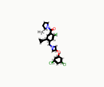 C[C@@H]1CCCN1C(=O)c1cc(C2CC2)c(CN2CC(Oc3cc(Cl)cc(Cl)c3)C2)cc1F